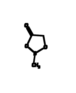 CB1OCC(=O)O1